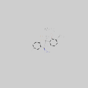 CCC(C)c1cccc(C(CC)(CC)Pc2ccc(C)cc2/C=N/C)c1OCOC